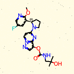 COc1ncc(F)cc1[C@H]1CCCN1c1ccn2ncc(OC(=O)NCC(C)(C)O)c2n1